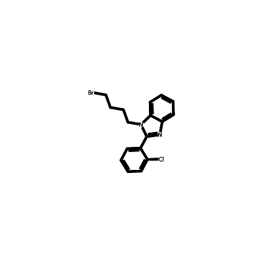 Clc1ccccc1-c1nc2ccccc2n1CCCCBr